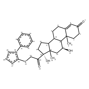 CC12CCC(=O)C=C1CCC1C2[C@@H](O)CC2(C)C1CC[C@]2(O)C(=O)CSc1nnnn1-c1ccccc1